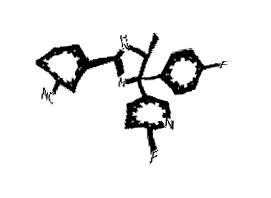 C[C@@H]1NC(c2cccc(C#N)c2)=N[C@@]1(c1ccc(F)cc1)c1ccc(F)nc1